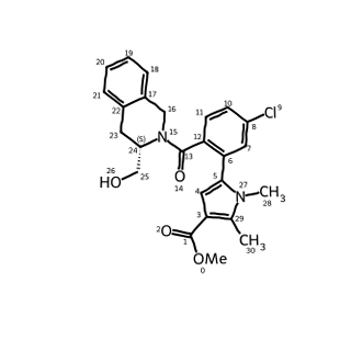 COC(=O)c1cc(-c2cc(Cl)ccc2C(=O)N2Cc3ccccc3C[C@H]2CO)n(C)c1C